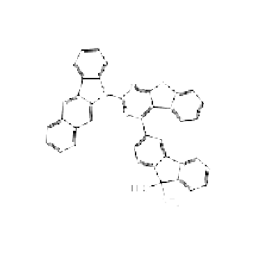 CC1(C)c2ccccc2-c2cc(-c3nc(-n4c5ccccc5c5cc6ccccc6cc54)nc4sc5ccccc5c34)ccc21